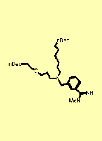 CCCCCCCCCCCCCCCCN(CCCCCCCCCCCCCCCC)Cc1cccc(C(=N)NC)c1